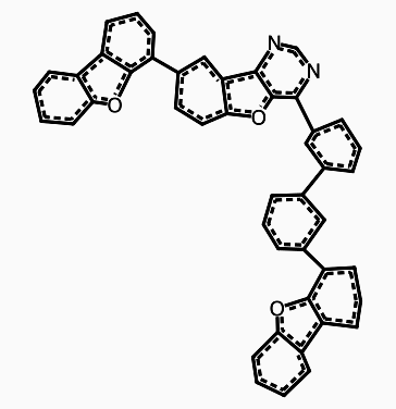 c1cc(-c2cccc(-c3ncnc4c3oc3ccc(-c5cccc6c5oc5ccccc56)cc34)c2)cc(-c2cccc3c2oc2ccccc23)c1